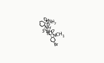 CN1C(=O)C(=NNC(=S)Nc2ccccc2S(N)(=O)=O)c2ccc(Br)cc21